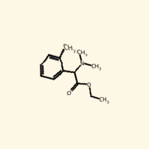 CCOC(=O)C(c1ccccc1C)N(C)C